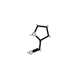 O=[C]C1CCCO1